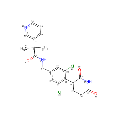 CC(C)(C(=O)NCc1cc(Cl)c(C2CCC(=O)NC2=O)c(Cl)c1)c1cccnc1